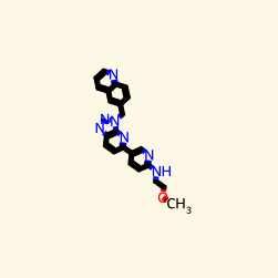 COCCNc1ccc(-c2ccc3nnn(Cc4ccc5ncccc5c4)c3n2)cn1